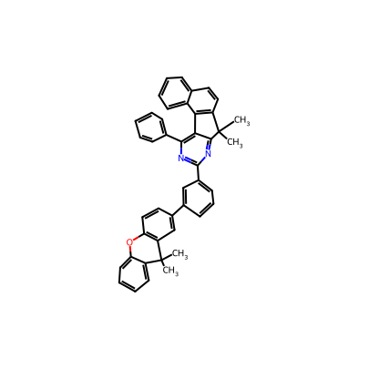 CC1(C)c2ccccc2Oc2ccc(-c3cccc(-c4nc(-c5ccccc5)c5c(n4)C(C)(C)c4ccc6ccccc6c4-5)c3)cc21